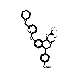 CSc1ccc(C2CN(C)C(OC(=O)C(F)(F)F)c3cc(Oc4cccc(CN5CCCCC5)n4)ccc32)cc1